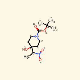 CC([N+](=O)[O-])C1(O)CCN(C(=O)OC(C)(C)C)CC1